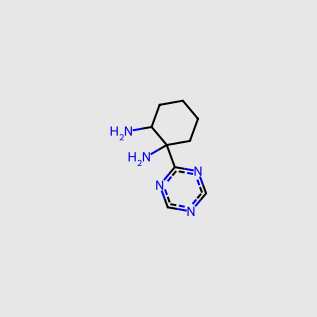 NC1CCCCC1(N)c1ncncn1